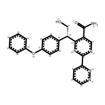 NC(=O)c1cnc(-c2cccnn2)nc1[C@@H](CO)c1ccc(Oc2ccccc2)cc1